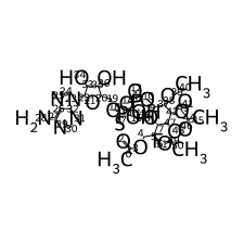 CC(=O)OC[C@H](F)[C@H]1O[C@@H](OP(=O)(O)OP(O)(=S)OC[C@H]2O[C@@H](n3cnc4c(N)ncnc43)[C@H](O)[C@@H]2O)[C@@H](OC(C)=O)[C@@H](OC(C)=O)[C@@H]1OC(C)=O